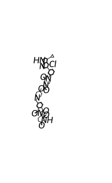 O=C1CCC(N2C(=O)c3ccc(CN4CCC(OC(=O)N5CCN(c6cccc(-c7cnc8[nH]cc(C9CC9)c8c7Cl)c6)C(=O)C5)CC4)cc3C2=O)C(=O)N1